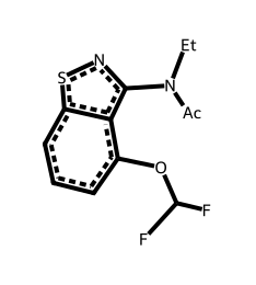 CCN(C(C)=O)c1nsc2cccc(OC(F)F)c12